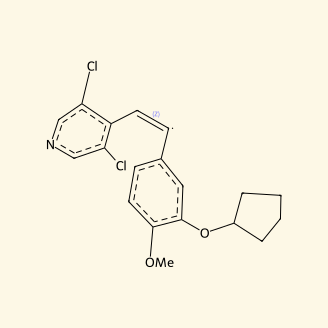 COc1ccc(/[C]=C\c2c(Cl)cncc2Cl)cc1OC1CCCC1